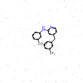 O=C(O)c1cccc(Nc2cc(Cc3cccc(C(F)(F)F)c3)ccn2)c1